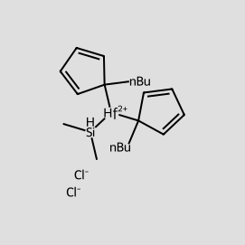 CCCC[C]1([Hf+2]([SiH](C)C)[C]2(CCCC)C=CC=C2)C=CC=C1.[Cl-].[Cl-]